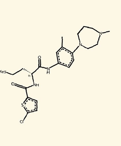 CSCC[C@@H](NC(=O)c1ccc(Cl)s1)C(=O)Nc1ccc(N2CCCN(C)CC2)c(C)c1